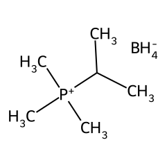 CC(C)[P+](C)(C)C.[BH4-]